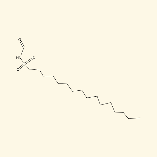 CCCCCCCCCCCCCCCCS(=O)(=O)NC=O